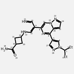 CCC(CC)n1cc(-c2nc(/C(C=N)=C/NC3CC(C(N)=O)C3)cn3nccc23)cn1